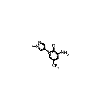 Cn1cc(-n2cc(C(F)(F)F)cc(N)c2=O)cn1